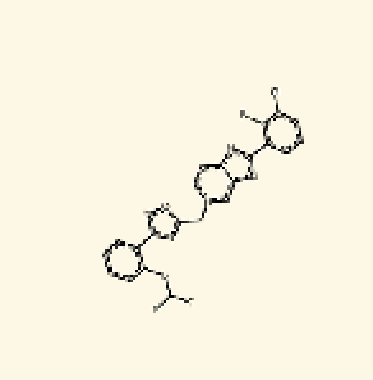 Fc1c(Cl)cccc1-c1nc2ccn(Cc3cc(-c4ccccc4OC(F)F)no3)cc-2n1